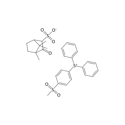 CC12CCC(C(S(=O)(=O)[O-])C1=O)C2(C)C.CS(=O)(=O)c1ccc([S+](c2ccccc2)c2ccccc2)cc1